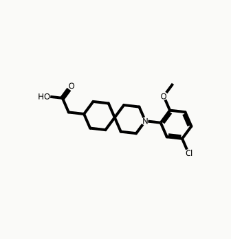 COc1ccc(Cl)cc1N1CCC2(CCC(CC(=O)O)CC2)CC1